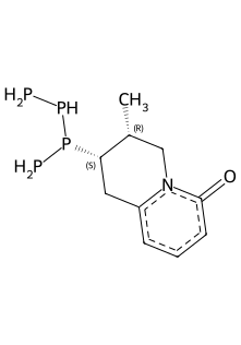 C[C@@H]1Cn2c(cccc2=O)C[C@@H]1P(P)PP